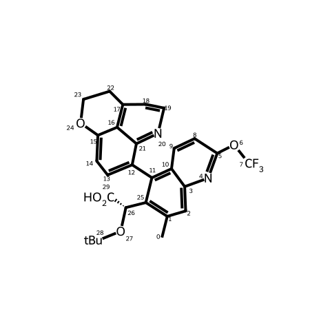 Cc1cc2nc(OC(F)(F)F)ccc2c(-c2ccc3c4c(ccnc24)CCO3)c1[C@H](OC(C)(C)C)C(=O)O